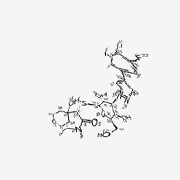 CCN(C)C(=O)[C@@H](S[C@@H]1O[C@H](CO)[C@H](O)[C@H](n2cc(-c3cc(F)c(Cl)c(F)c3)nn2)[C@H]1O)C1(O)CCOCC1